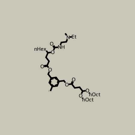 [CH2]c1cc(COC(=O)CCC(CCCCCC)OC(=O)NCCN(C)CC)cc(COC(=O)CCC(OCCCCCCCC)OCCCCCCCC)c1